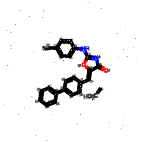 CC(=O)O.O=C1N=C(Nc2cc[c]([Na])cc2)OC1=Cc1ccc(-c2ccccc2)cc1